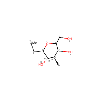 COCC1OC(CO)C(O)[C@@H](C)[C@@H]1O